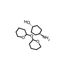 C1CCC(OC2CCCCO2)OC1.N[C@H]1CC[C@H](O)CC1